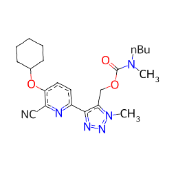 CCCCN(C)C(=O)OCc1c(-c2ccc(OC3CCCCC3)c(C#N)n2)nnn1C